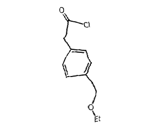 CCOCc1ccc(CC(=O)Cl)cc1